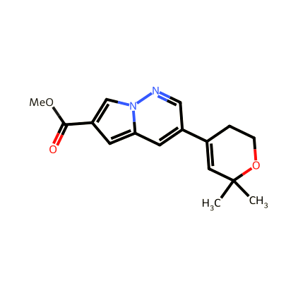 COC(=O)c1cc2cc(C3=CC(C)(C)OCC3)cnn2c1